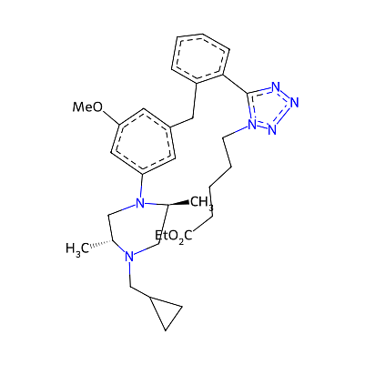 CCOC(=O)CCCCn1nnnc1-c1ccccc1Cc1cc(OC)cc(N2C[C@@H](C)N(CC3CC3)C[C@@H]2C)c1